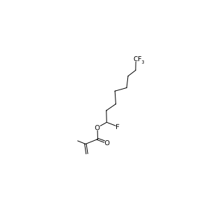 C=C(C)C(=O)OC(F)CCCCCCC(F)(F)F